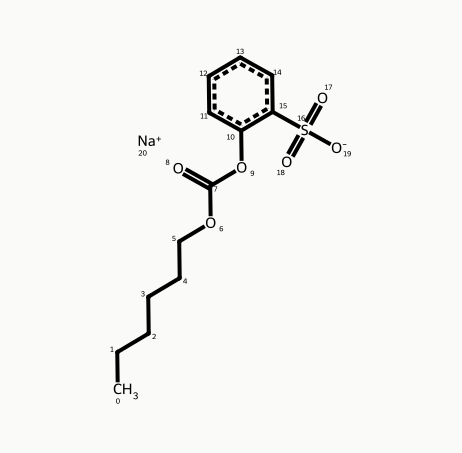 CCCCCCOC(=O)Oc1ccccc1S(=O)(=O)[O-].[Na+]